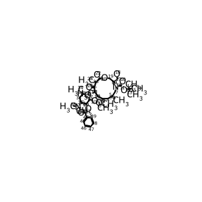 CO[C@]1(C)C[C@@H](C)CN(C(=O)OC(C)(C)C)[C@H](C=O)COC(=O)C(C)C(=O)[C@H](C)[C@H]1O[C@@H]1O[C@H](C)C[C@H](N(C)C)[C@H]1OC(=O)c1ccccc1